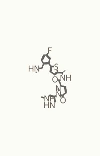 CN/C=C(\C=N)n1nc(C(=O)N[C@H](C)c2ccc(-c3cc(F)ccc3CNC)s2)ccc1=O